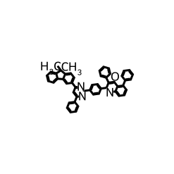 CC1(C)c2ccccc2-c2cc(-c3cc(-c4ccccc4)nc(-c4ccc(-c5nc6cccc(-c7ccccc7)c6c6oc7ccccc7c56)cc4)n3)ccc21